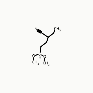 CCC(C#N)CC[SiH](OC)OC